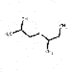 CCC(C)OC[C](C)C